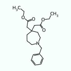 CCOC(=O)CC1(CC(=O)OCC)CCCN(Cc2ccccc2)CC1